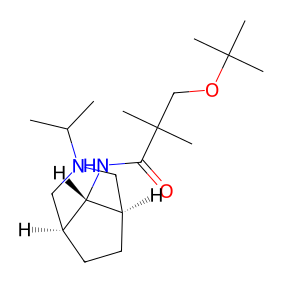 CC(C)N1C[C@H]2CC[C@@H](C1)[C@@H]2NC(=O)C(C)(C)COC(C)(C)C